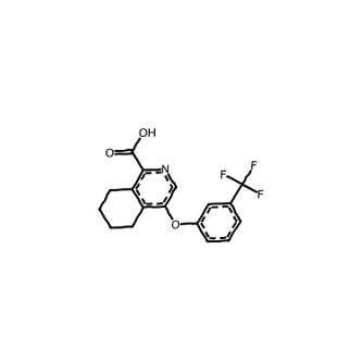 O=C(O)c1ncc(Oc2cccc(C(F)(F)F)c2)c2c1CCCC2